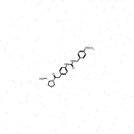 COc1ccc(CNC(=O)Nc2ccc(CC(=O)N3CCC[C@@H]3CO)cc2)cc1